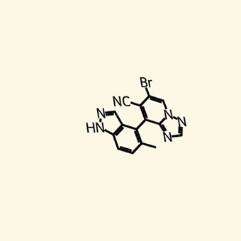 Cc1ccc2[nH]ncc2c1-c1c(C#N)c(Br)cn2ncnc12